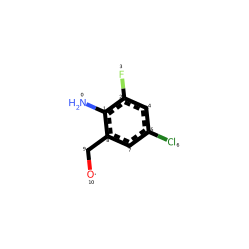 Nc1c(F)cc(Cl)cc1C[O]